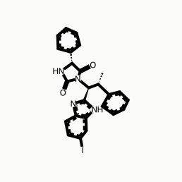 C[C@H](c1ccccc1)[C@@H](c1nc2ccc(I)cc2[nH]1)N1C(=O)N[C@H](c2ccccc2)C1=O